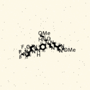 COCCNC(=O)N(c1cnc(-c2cnc(OC)nc2)cn1)C1CCC(Nc2ncc(C(F)(F)F)c(-c3ccn(C(F)F)n3)n2)CC1